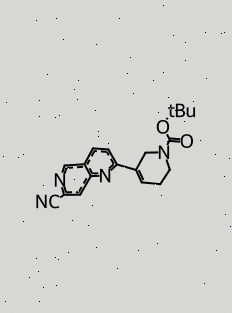 CC(C)(C)OC(=O)N1CCC=C(c2ccc3cnc(C#N)cc3n2)C1